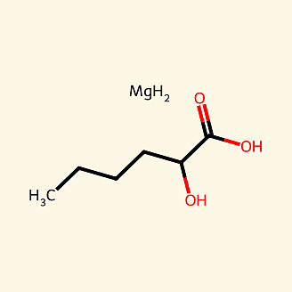 CCCCC(O)C(=O)O.[MgH2]